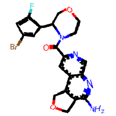 Nc1nc2cnc(C(=O)N3CCOCC3C3C=C(Br)C=C3F)cc2c2c1COC2